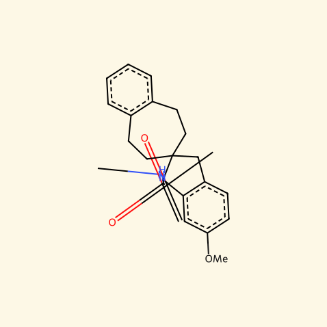 COc1ccc2c(c1)C1(NC(=O)N(C)C1=O)C1(CCc3ccccc3CC1)C2